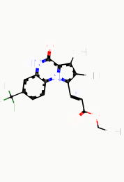 CCOC(=O)/C=C/c1c(C)c(C)c2c(=O)[nH]c3cc(C(F)(F)F)ccc3n12